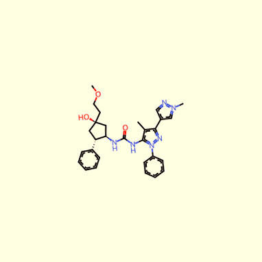 COCC[C@]1(O)C[C@@H](NC(=O)Nc2c(C)c(-c3cnn(C)c3)nn2-c2ccccc2)[C@H](c2ccccc2)C1